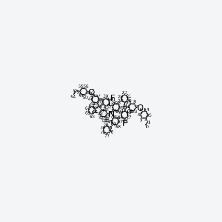 C=Cc1ccc(Oc2ccc(C3(c4ccc(F)cc4)c4ccccc4-c4ccc(N(c5ccc6c(c5)C(c5ccc(F)cc5)(c5ccc(Oc7ccc(C=C)cc7)cc5)c5ccccc5-6)c5cccc6c5C(C)(C)c5ccccc5-6)cc43)cc2)cc1